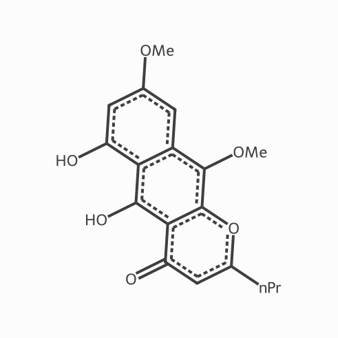 CCCc1cc(=O)c2c(O)c3c(O)cc(OC)cc3c(OC)c2o1